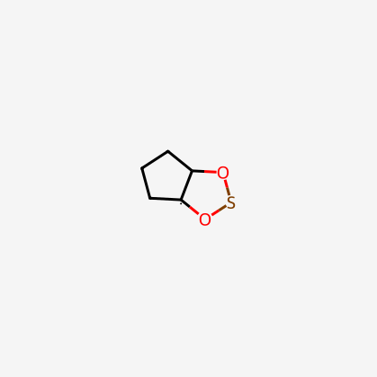 C1C[C]2OSOC2C1